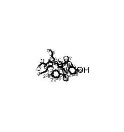 CCC[CH2][Sn]([CH2]CCC)([CH2]CCC)[c]1cc(N(C(=O)[C@H]2CC[C@H](C)CC2)[C@H]2CC[C@H](O)CC2)c(C(=O)OC)s1